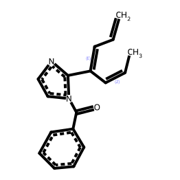 C=C/C=C(\C=C/C)c1nccn1C(=O)c1ccccc1